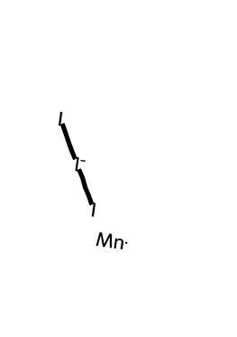 I[I-]I.[Mn]